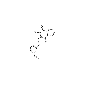 O=C1C(Br)=C(CCc2cccc(C(F)(F)F)c2)C(=O)c2ccccc21